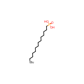 CC(C)(C)CCCCCCCCCCCCCP(=O)(O)O